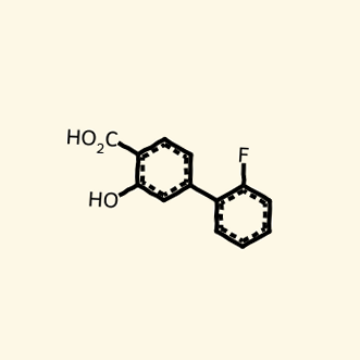 O=C(O)c1ccc(-c2ccccc2F)cc1O